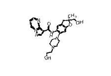 C[C@@]1(CO)Cc2cc(NC(=O)c3cnn4cccnc34)c(N3CCN(CCO)CC3)cc2O1